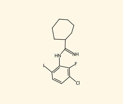 N=C(Nc1c(I)ccc(Cl)c1F)C1CCCCCC1